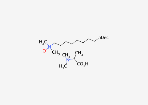 CC(C(=O)O)N(C)C.CCCCCCCCCCCCCCCCCC[N+](C)(C)[O-]